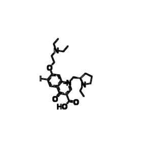 CCN(CC)CCOc1cc2c(cc1I)c(=O)c(C(=O)O)cn2C[C@H]1CCCN1CC